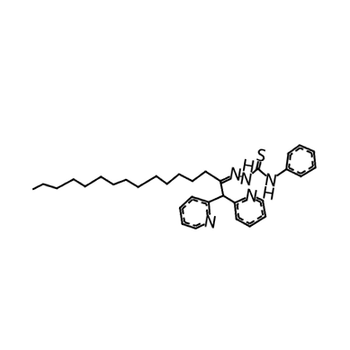 CCCCCCCCCCCCCCC(=NNC(=S)Nc1ccccc1)C(c1ccccn1)c1ccccn1